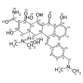 CN(C)Cc1ccc(/C=C2\c3cccc(O)c3C(=O)C3=C(O)[C@]4(O)C(=O)C(C(N)=O)=C(O)[C@@H](N(C)C)[C@@H]4[C@@H](O)[C@@H]32)cc1